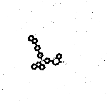 C=C1/C=C\C=C(\c2ccc(N(c3ccc(-c4ccc(-c5ccc6ccccc6c5)cc4)cc3)c3cc4ccccc4c4ccccc34)cc2)Oc2ccccc21